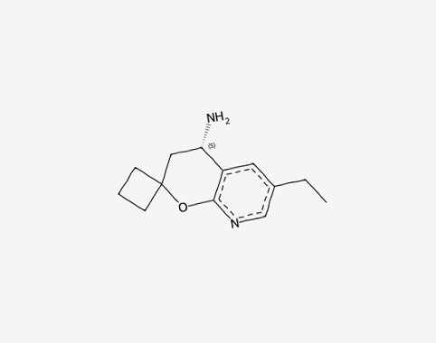 CCc1cnc2c(c1)[C@@H](N)CC1(CCC1)O2